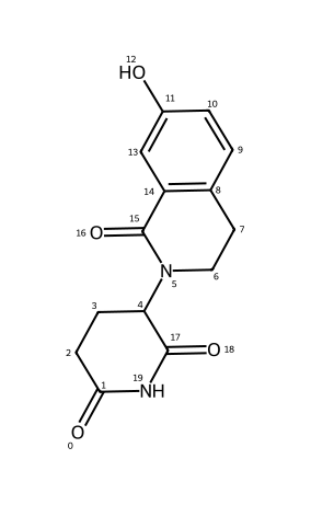 O=C1CCC(N2CCc3ccc(O)cc3C2=O)C(=O)N1